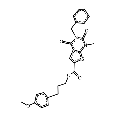 COc1ccc(CCCOC(=O)c2cc3c(=O)n(Cc4ccccc4)c(=O)n(C)c3s2)cc1